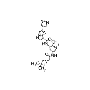 Cc1ncc(NC(=O)CN2CC(C)(C)C2)cc1NC(=O)c1cnn2cc(-c3cncnc3)sc12